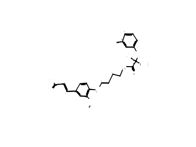 COc1cc(/C=C/C(=O)O)ccc1OCCCCOC(=O)C(C)(C)Oc1cccc(C)c1